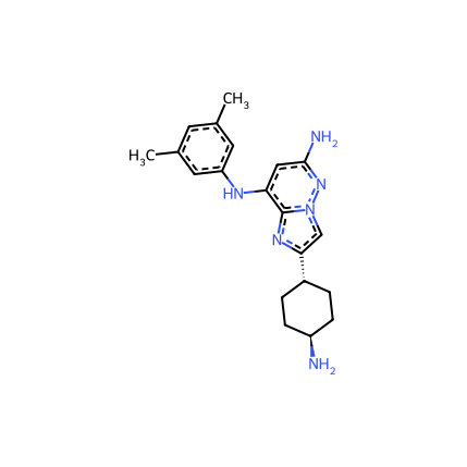 Cc1cc(C)cc(Nc2cc(N)nn3cc([C@H]4CC[C@H](N)CC4)nc23)c1